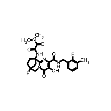 Cc1cccc(CNC(=O)c2nc3n(c(=O)c2O)CC2(F)CCC3(NC(=O)C(=O)N(C)C)CC2)c1F